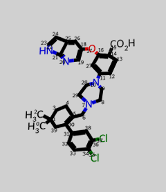 CC1(C)CCC(CN2CCN(c3ccc(C(=O)O)c(Oc4cnc5[nH]ccc5c4)c3)CC2)=C(c2ccc(Cl)c(Cl)c2)C1